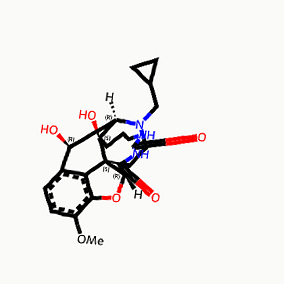 COc1ccc2c3c1O[C@H]1C(=O)NC(=O)NCCC[C@@]4(O)[C@@H]([C@@H]2O)N(CC2CC2)CC[C@]314